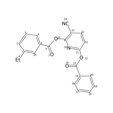 [CH2]Cc1cccc(C(=O)Oc2nc(OC(=O)c3ccccc3)ccc2C#N)c1